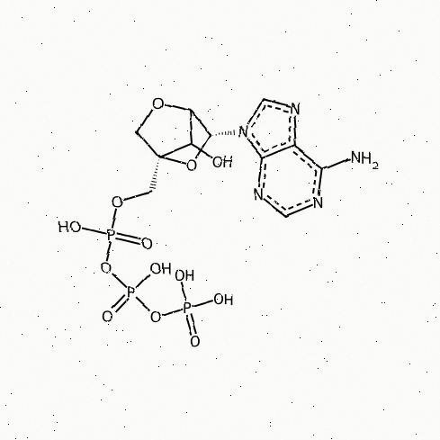 Nc1ncnc2c1ncn2[C@@H]1O[C@@]2(COP(=O)(O)OP(=O)(O)OP(=O)(O)O)COC1C2O